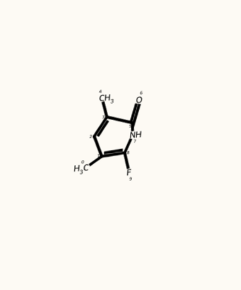 Cc1cc(C)c(=O)[nH]c1F